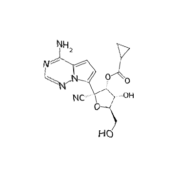 N#C[C@@]1(c2ccc3c(N)ncnn23)O[C@H](CO)[C@@H](O)[C@H]1OC(=O)C1CC1